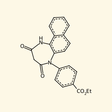 CCOC(=O)c1ccc(N2C(=O)CC(=O)Nc3c2ccc2ccccc32)cc1